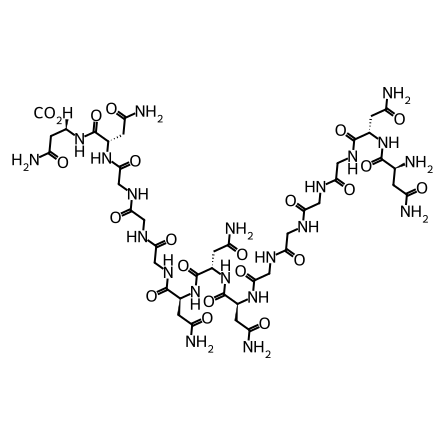 NC(=O)C[C@H](NC(=O)[C@H](CC(N)=O)NC(=O)CNC(=O)CNC(=O)CNC(=O)[C@H](CC(N)=O)NC(=O)[C@H](CC(N)=O)NC(=O)[C@H](CC(N)=O)NC(=O)CNC(=O)CNC(=O)CNC(=O)CNC(=O)[C@H](CC(N)=O)NC(=O)[C@@H](N)CC(N)=O)C(=O)O